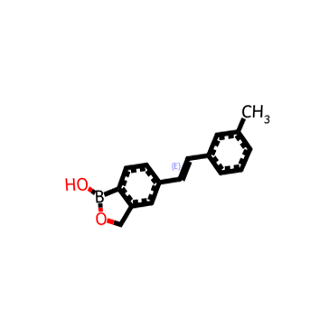 Cc1cccc(/C=C/c2ccc3c(c2)COB3O)c1